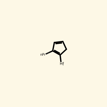 CCCC1=[C]([Hf])CC=C1